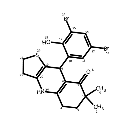 CC1(C)CCC2=C(C1=O)C(c1cc(Br)cc(Br)c1O)C1=C(CCS1)N2